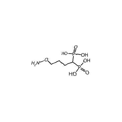 NOCCCC(P(=O)(O)O)P(=O)(O)O